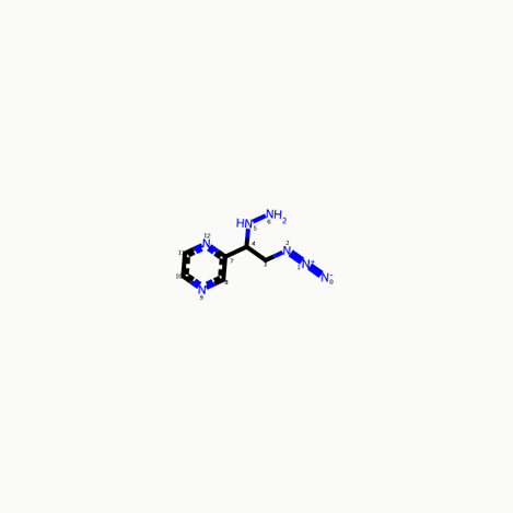 [N-]=[N+]=NCC(NN)c1cnccn1